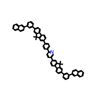 CC1(C)c2cc(-c3ccc(-c4ccc(-c5ccc6c(c5)C(C)(C)c5cc(-c7cccc(-c8ccc9ccccc9c8)c7)ccc5-6)cn4)cc3)ccc2-c2ccc(-c3cccc(-c4ccc5ccccc5c4)c3)cc21